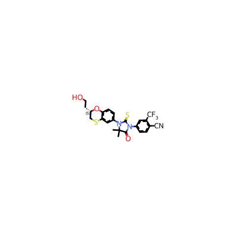 CC1(C)C(=O)N(c2ccc(C#N)c(C(F)(F)F)c2)C(=S)N1c1ccc2c(c1)SC[C@H](CCO)O2